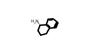 N[C@H]1CCCc2c#cccc21